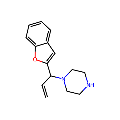 C=CC(c1cc2ccccc2o1)N1CCNCC1